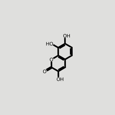 O=c1oc2c(O)c(O)ccc2cc1O